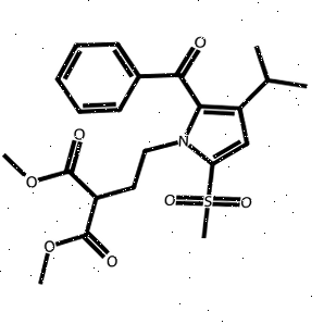 COC(=O)C(CCn1c(S(C)(=O)=O)cc(C(C)C)c1C(=O)c1ccccc1)C(=O)OC